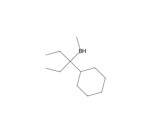 CBC(CC)(CC)C1CCCCC1